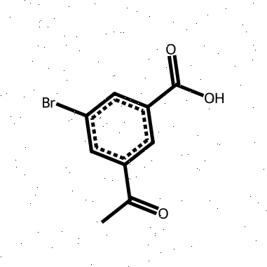 CC(=O)c1cc(Br)cc(C(=O)O)c1